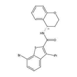 CC(C)c1c(C(=O)N[C@H]2CCOc3ccccc32)sc2c(Br)cccc12